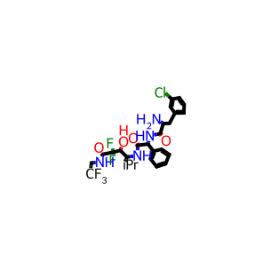 CC(C)C(NC(=O)C(NC(=O)C(N)Cc1cccc(Cl)c1)c1ccccc1)C(O)C(F)(F)C(=O)NCC(F)(F)F